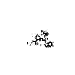 CC[C@@H](C=CC(=O)N1CCc2ccccc21)NC(=O)[C@@H](N)CC.O=C(O)C(F)(F)F